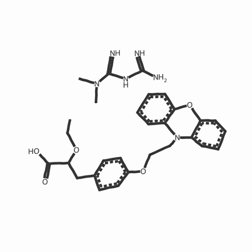 CCOC(Cc1ccc(OCCN2c3ccccc3Oc3ccccc32)cc1)C(=O)O.CN(C)C(=N)NC(=N)N